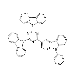 c1ccc(-n2c3ccccc3c3cc(-c4nc(-n5c6ccccc6c6ccccc65)nc(-n5c6ccccc6c6ccccc65)n4)ccc32)cc1